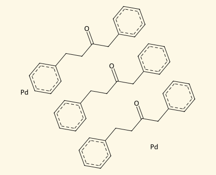 O=C(CCc1ccccc1)Cc1ccccc1.O=C(CCc1ccccc1)Cc1ccccc1.O=C(CCc1ccccc1)Cc1ccccc1.[Pd].[Pd]